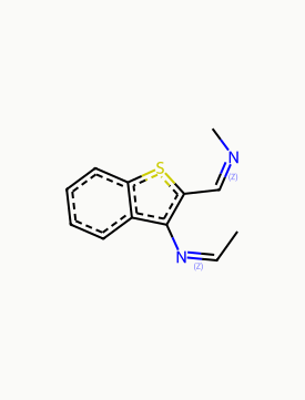 C/C=N\c1c(/C=N\C)sc2ccccc12